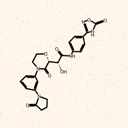 O=C(Nc1ccc(-c2noc(=O)[nH]2)cc1)[C@H](O)[C@H]1OCCN(c2cccc(N3CCCC3=O)c2)C1=O